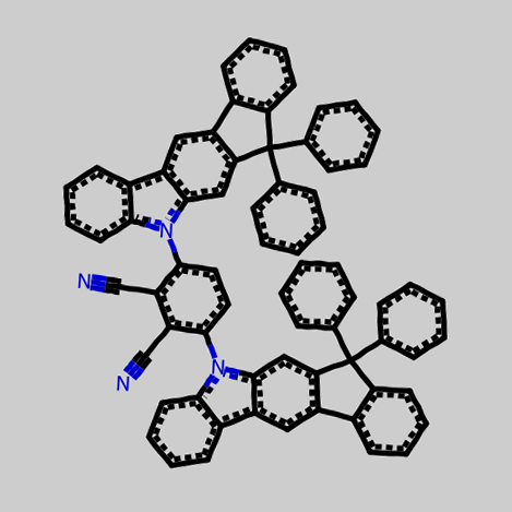 N#Cc1c(-n2c3ccccc3c3cc4c(cc32)C(c2ccccc2)(c2ccccc2)c2ccccc2-4)ccc(-n2c3ccccc3c3cc4c(cc32)C(c2ccccc2)(c2ccccc2)c2ccccc2-4)c1C#N